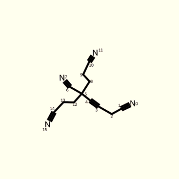 N#CCC#CC(C#N)(CCC#N)CCC#N